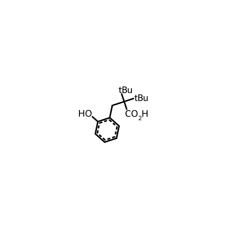 CC(C)(C)C(Cc1ccccc1O)(C(=O)O)C(C)(C)C